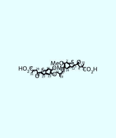 COc1cc2sc(C(=O)CC(C)C(=O)O)cc2cc1OCC(C)COc1cc2cc(C(=O)CC(C)C(=O)O)sc2cc1OC